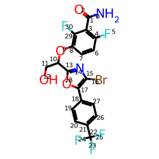 NC(=O)c1c(F)ccc(OC(CO)c2nc(Br)c(-c3ccc(C(F)(F)F)cc3)o2)c1F